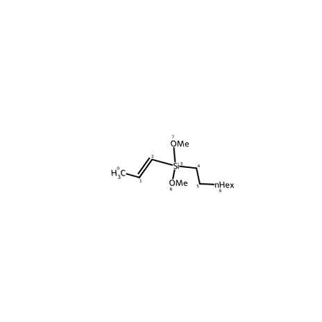 CC=C[Si](CCCCCCCC)(OC)OC